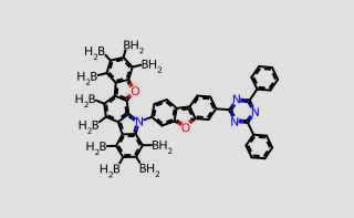 Bc1c(B)c(B)c2c(oc3c2c(B)c(B)c2c4c(B)c(B)c(B)c(B)c4n(-c4ccc5c(c4)oc4cc(-c6nc(-c7ccccc7)nc(-c7ccccc7)n6)ccc45)c32)c1B